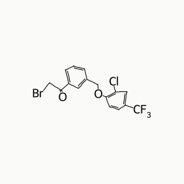 O=C(CBr)c1cccc(COc2ccc(C(F)(F)F)cc2Cl)c1